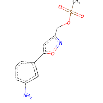 CS(=O)(=O)OCc1cc(-c2cccc(N)c2)on1